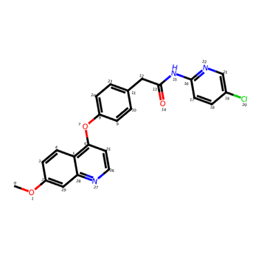 COc1ccc2c(Oc3ccc(CC(=O)Nc4ccc(Cl)cn4)cc3)ccnc2c1